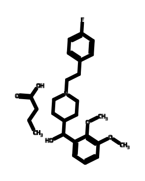 CCCC(=O)O.COc1cccc(C(O)C2CCN(CCc3ccc(F)cc3)CC2)c1OC